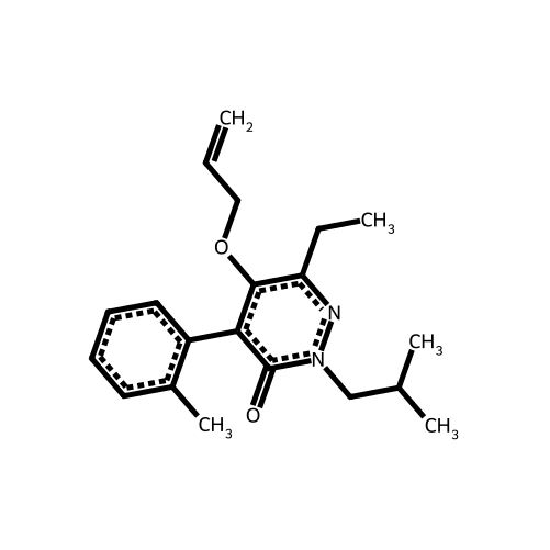 C=CCOc1c(CC)nn(CC(C)C)c(=O)c1-c1ccccc1C